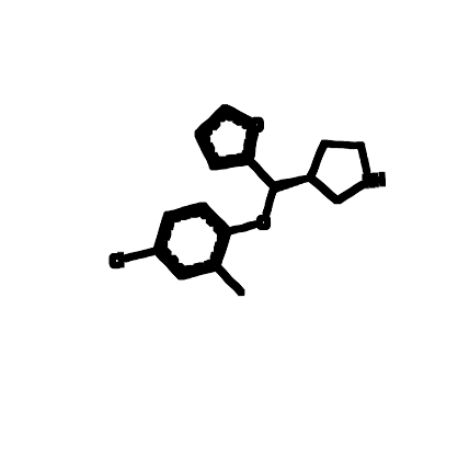 Cc1cc(Cl)ccc1OC(c1ccco1)[C@H]1CCNC1